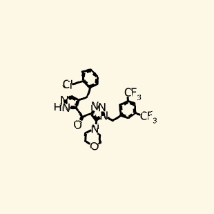 O=C(c1nnn(Cc2cc(C(F)(F)F)cc(C(F)(F)F)c2)c1N1CCOCC1)c1[nH]ncc1Cc1ccccc1Cl